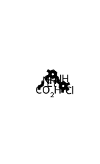 CC[C@@H](Nc1ccc(C)c(CNCCCC(=O)O)c1)c1cc(C)c(Cl)c(C)c1